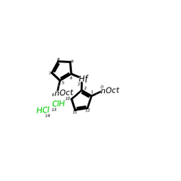 CCCCCCCCC1=[C]([Hf][C]2=C(CCCCCCCC)C=CC2)CC=C1.Cl.Cl